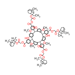 CCC1(OC(=O)COC(=O)c2ccc(C3c4cc(c(OC)cc4O)C(c4ccc(C(=O)OCC(=O)OC5(CC)C6CC7CC5CC(C)(C7)C6)cc4)c4cc(c(OC)cc4O)C(c4ccc(C(=O)OCC(=O)OC5(CC)C6CC7CC5CC(C)(C7)C6)cc4)c4cc(c(OC)cc4O)C(c4ccc(C(=O)OCC(=O)OC5(CC)C6CC7CC5CC(C)(C7)C6)cc4)c4cc3c(OC)cc4O)cc2)C2CC3CC1CC(C)(C3)C2